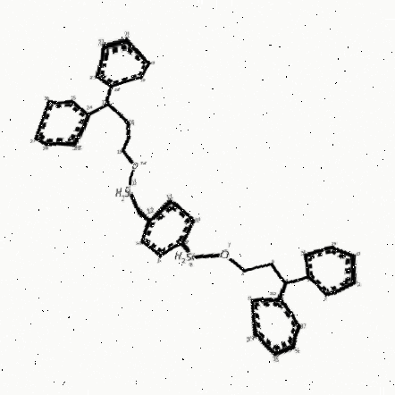 c1ccc(C(CCO[SiH2]c2ccc([SiH2]OCCC(c3ccccc3)c3ccccc3)cc2)c2ccccc2)cc1